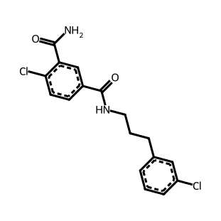 NC(=O)c1cc(C(=O)NCCCc2cccc(Cl)c2)ccc1Cl